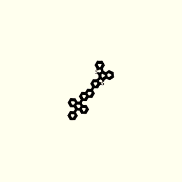 c1ccc(-c2c3ccccc3c(-c3ccc4cc(-c5ccc6c(c5)sc5c7ccccc7c7c8ccccc8sc7c65)ccc4c3)c3ccccc23)cc1